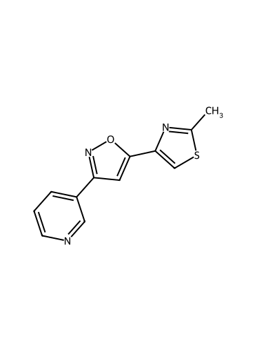 Cc1nc(-c2cc(-c3cccnc3)no2)cs1